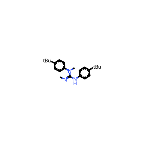 CN=C(Nc1ccc(C(C)(C)C)cc1)N(C)c1ccc(C(C)(C)C)cc1